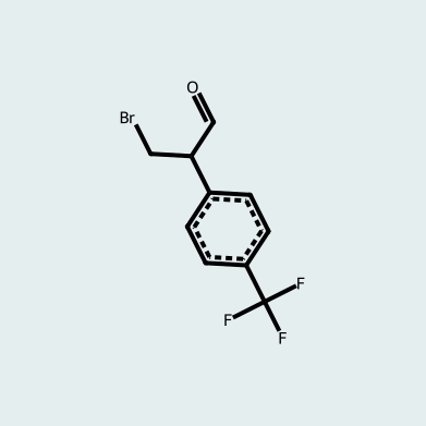 O=CC(CBr)c1ccc(C(F)(F)F)cc1